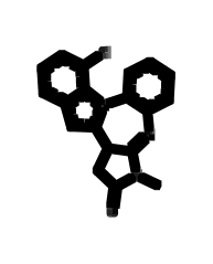 CN1C(=O)CC2C1=Nc1ccccc1-n1c2cc2cccc(Cl)c21